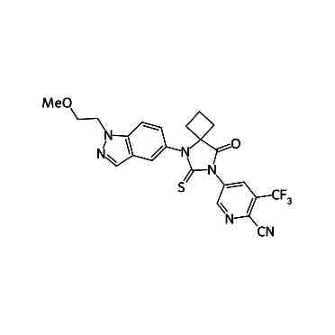 COCCn1ncc2cc(N3C(=S)N(c4cnc(C#N)c(C(F)(F)F)c4)C(=O)C34CCC4)ccc21